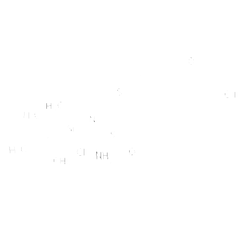 CCC(=O)c1csc(S(N)(=O)=N[Si](C)(C)C(C)(C)C)c1